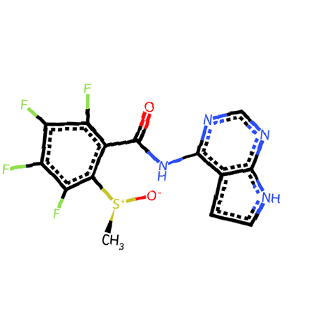 C[S@+]([O-])c1c(F)c(F)c(F)c(F)c1C(=O)Nc1ncnc2[nH]ccc12